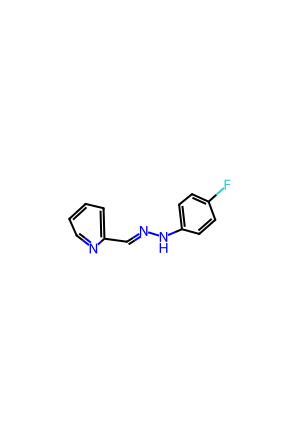 Fc1ccc(NN=Cc2ccccn2)cc1